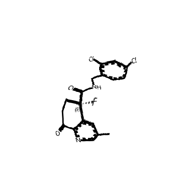 Cc1cnc2c(c1)[C@](F)(C(=O)NCc1ccc(Cl)cc1Cl)CCC2=O